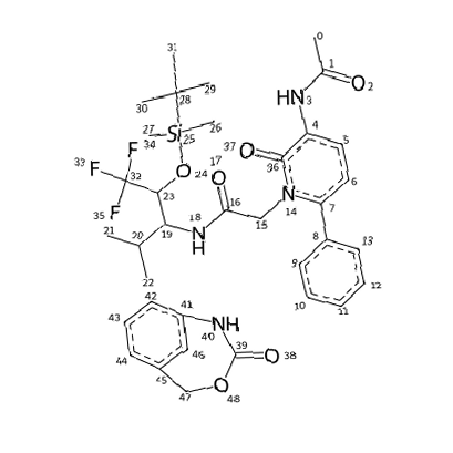 CC(=O)Nc1ccc(-c2ccccc2)n(CC(=O)NC(C(C)C)C(O[Si](C)(C)C(C)(C)C)C(F)(F)F)c1=O.O=C1Nc2cccc(c2)CO1